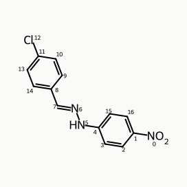 O=[N+]([O-])c1ccc(NN=Cc2ccc(Cl)cc2)cc1